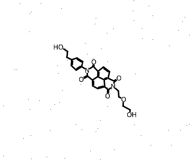 O=C1c2ccc3c4c(ccc(c24)C(=O)N1CCOCCO)C(=O)N(c1ccc(CCO)cc1)C3=O